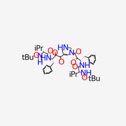 CC(C)[C@H](NOC(C)(C)C)C(=O)N[C@@H](Cc1ccccc1)C(=O)C(=O)C1=CN(C(=O)C(=O)[C@H](Cc2ccccc2)NC(=O)[C@@H](NOC(C)(C)C)C(C)C)CNC1